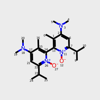 Cc1c(N(C)C)cc(C(C)C)[n+]([O-])c1-c1c(C)c(N(C)C)cc(C(C)C)[n+]1[O-]